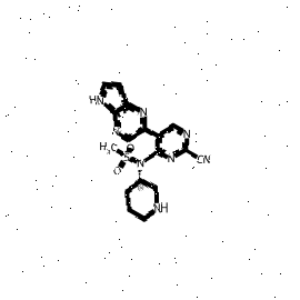 CS(=O)(=O)N(c1nc(C#N)ncc1-c1cnc2[nH]ccc2n1)[C@H]1CCCNC1